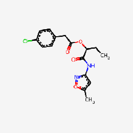 CCC(OC(=O)Cc1ccc(Cl)cc1)C(=O)Nc1cc(C)on1